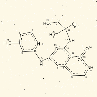 Cc1ccnc(Nc2cc3cc[nH]c(=O)c3c(NC(C)(C)CO)n2)c1